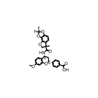 COc1ccc2c(c1)O[C@@H](c1ccc(C(=O)O)cc1)C[C@H]2NC(=O)C1(C)COc2c1ccc1c2OC(F)(F)O1